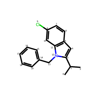 CC(C)c1cc2ccc(Cl)cc2n1Cc1ccccc1